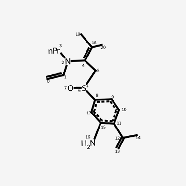 C=CN(CCC)C(C[S+]([O-])c1ccc(C(=C)C)c(N)c1)=C(C)C